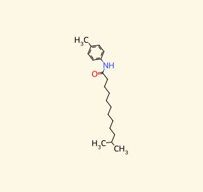 Cc1ccc(NC(=O)CCCCCCCCCC(C)C)cc1